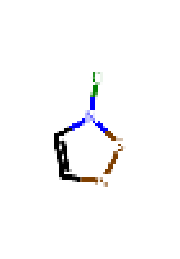 ClN1C=CSS1